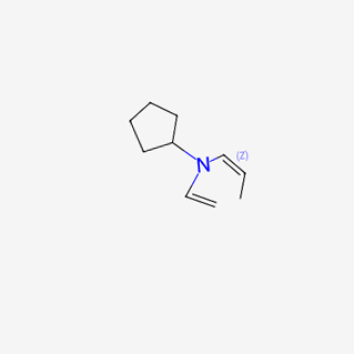 C=CN(/C=C\C)C1CCCC1